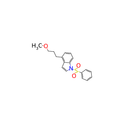 COCCCc1cccc2c1ccn2S(=O)(=O)c1ccccc1